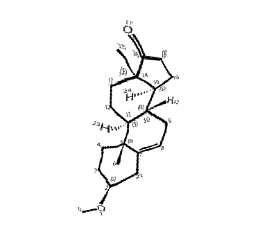 CO[C@H]1CC[C@@]2(C)C(=CC[C@@H]3[C@@H]2CC[C@]2(C)C(=O)CC[C@@H]32)C1